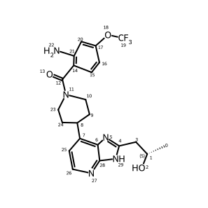 C[C@H](O)Cc1nc2c(C3CCN(C(=O)c4ccc(OC(F)(F)F)cc4N)CC3)ccnc2[nH]1